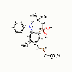 CCCCC1(CCCC)CN(c2ccccc2)c2cc(SC)c(CSCC(=O)OCC)cc2S(=O)(=O)C1